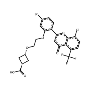 O=c1cc(-c2ccc(Br)cc2OCCO[C@H]2C[C@H](C(=O)O)C2)oc2c(Cl)ccc(C(F)(F)F)c12